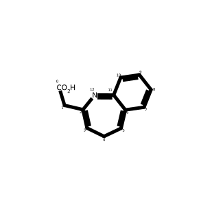 O=C(O)CC1=CCC=c2ccccc2=N1